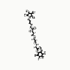 O=C(CCCCCN1C(=O)C(Br)=C(Br)C1=O)NCCOCCOCCC(=O)Oc1c(F)c(F)c(F)c(F)c1F